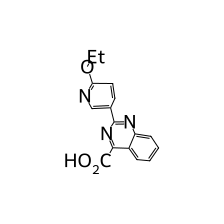 CCOc1ccc(-c2nc(C(=O)O)c3ccccc3n2)cn1